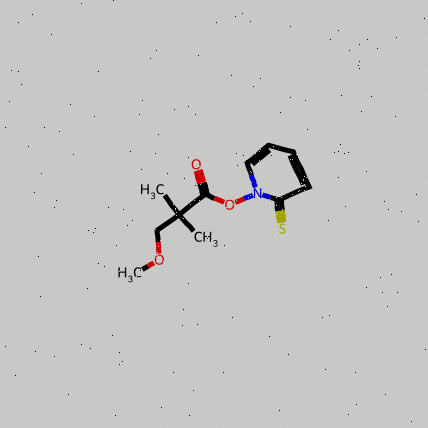 COCC(C)(C)C(=O)On1ccccc1=S